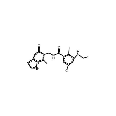 CCNc1cc(Cl)cc(C(=O)NCc2c(C)n3[nH]ccc3cc2=O)c1C